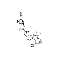 N#Cc1ncn(CC(=O)N2Cc3ccc(-c4c(Cl)cncc4C(F)(F)F)cc3C2)n1